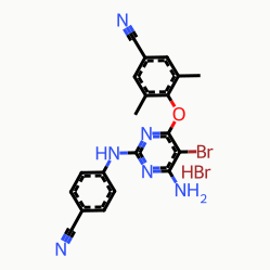 Br.Cc1cc(C#N)cc(C)c1Oc1nc(Nc2ccc(C#N)cc2)nc(N)c1Br